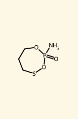 NP1(=O)OCCCSO1